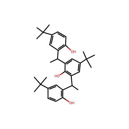 CC(c1cc(C(C)(C)C)ccc1O)c1cc(C(C)(C)C)cc(C(C)c2cc(C(C)(C)C)ccc2O)c1O